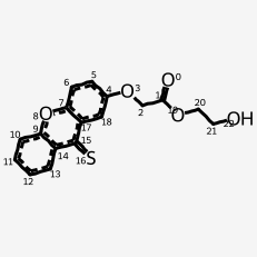 O=C(COc1ccc2oc3ccccc3c(=S)c2c1)OCCO